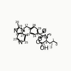 CC[C@H](C)[C@@H](C(=O)O)N(C)S(=O)(=O)c1ccc(Cn2c(C)nc3cnccc32)cc1